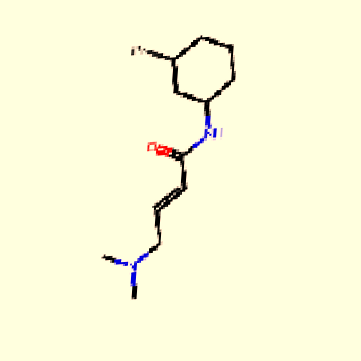 CC(C)C1CCCC(NC(=O)/C=C/CN(C)C)C1